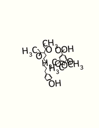 CCC(=O)C(CCCCCCc1ccc(O)cc1)C(=O)CC.COc1cc(C(=O)O)cc(OC)c1OC